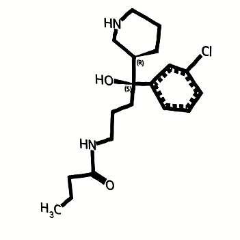 CCCC(=O)NCCC[C@@](O)(c1cccc(Cl)c1)[C@@H]1CCCNC1